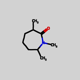 CC1CCCC(C)N(C)C1=O